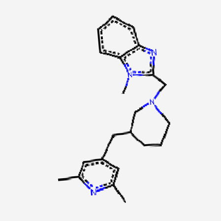 Cc1cc(CC2CCCN(Cc3nc4ccccc4n3C)C2)cc(C)n1